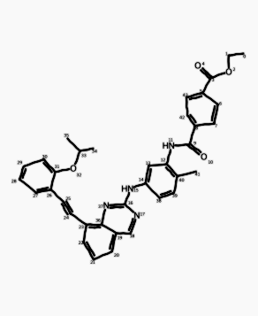 CCOC(=O)c1ccc(C(=O)Nc2cc(Nc3ncc4cccc(C#Cc5ccccc5OC(C)C)c4n3)ccc2C)cc1